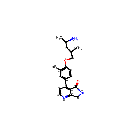 CC(N)CC(C)COc1ccc(-c2ccnc3c2C(=O)NC3)cc1C#N